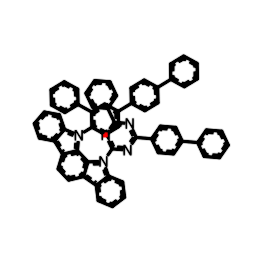 c1ccc(-c2ccc(-c3ccc(-n4c5ccccc5c5ccc6c7ccccc7n(-c7nc(-c8ccccc8)nc(-c8ccc(-c9ccccc9)cc8)n7)c6c54)c(-c4ccccc4)c3)cc2)cc1